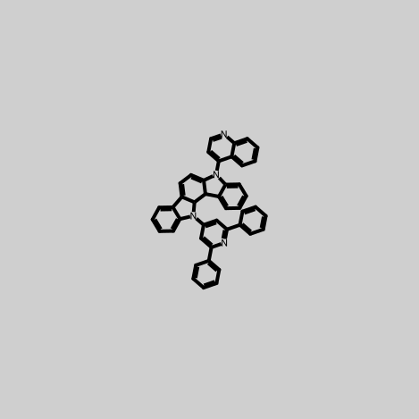 C1=C2c3ccccc3N(c3cc(-c4ccccc4)nc(-c4ccccc4)c3)C2C2C(=C1)N(c1ccnc3ccccc13)c1ccccc12